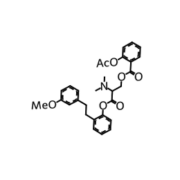 COc1cccc(CCc2ccccc2OC(=O)C(COC(=O)c2ccccc2OC(C)=O)N(C)C)c1